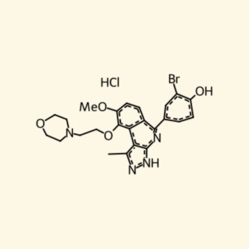 COc1ccc2c(-c3ccc(O)c(Br)c3)nc3[nH]nc(C)c3c2c1OCCN1CCOCC1.Cl